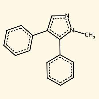 Cn1ncc(-c2ccccc2)c1-c1ccccc1